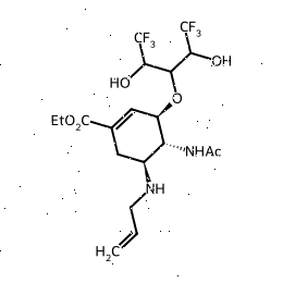 C=CCN[C@H]1CC(C(=O)OCC)=C[C@@H](OC(C(O)C(F)(F)F)C(O)C(F)(F)F)[C@@H]1NC(C)=O